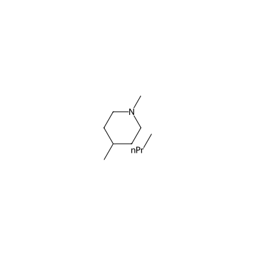 CC1CCN(C)CC1.CCCC